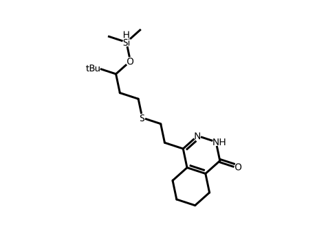 C[SiH](C)OC(CCSCCc1n[nH]c(=O)c2c1CCCC2)C(C)(C)C